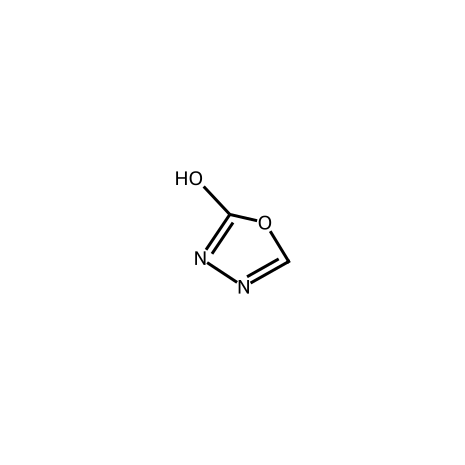 Oc1nnco1